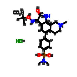 CN1CCc2c(-c3ccc(S(=O)(=O)N(C)C)cc3)cc3c(c2C1)NC(=O)C3=NOC(C)(C)C(=O)O.Cl